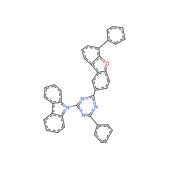 c1ccc(-c2nc(-c3ccc4oc5c(-c6ccccc6)cccc5c4c3)nc(-n3c4ccccc4c4ccccc43)n2)cc1